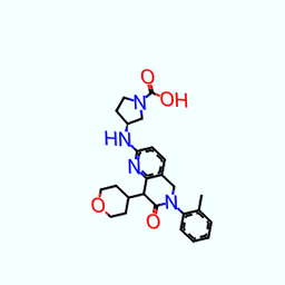 Cc1ccccc1N1Cc2ccc(N[C@H]3CCN(C(=O)O)C3)nc2C(C2CCOCC2)C1=O